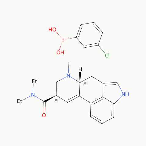 CCN(CC)C(=O)[C@@H]1C=C2c3cccc4[nH]cc(c34)C[C@H]2N(C)C1.OB(O)c1cccc(Cl)c1